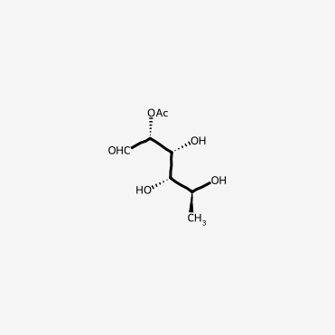 CC(=O)O[C@@H](C=O)[C@H](O)[C@@H](O)[C@H](C)O